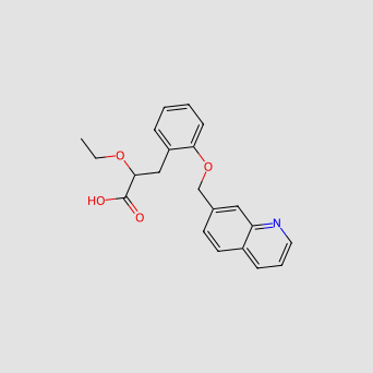 CCOC(Cc1ccccc1OCc1ccc2cccnc2c1)C(=O)O